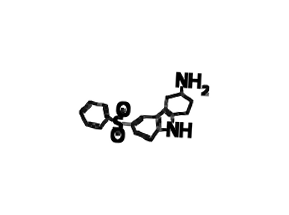 NC1CCc2[nH]c3ccc(S(=O)(=O)c4ccccc4)cc3c2C1